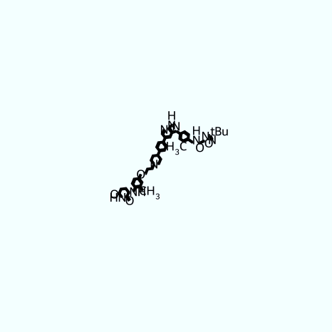 Cc1cc(-c2n[nH]c3ncc(-c4ccc(C5CCN(CCCOc6ccc(NC7CCC(=O)NC7=O)c(C)c6)CC5)cc4)cc23)ccc1CNC(=O)c1nc(C(C)(C)C)no1